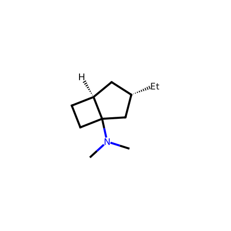 CC[C@H]1C[C@@H]2CCC2(N(C)C)C1